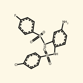 Nc1ccc(NS(=O)(=O)c2ccc(Cl)cc2)c(NS(=O)(=O)c2ccc(F)cc2)c1